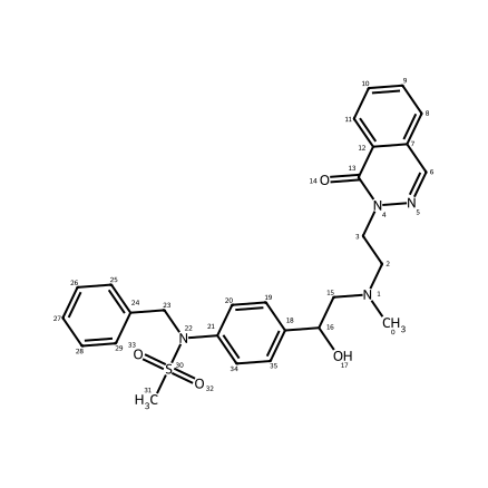 CN(CCn1ncc2ccccc2c1=O)CC(O)c1ccc(N(Cc2ccccc2)S(C)(=O)=O)cc1